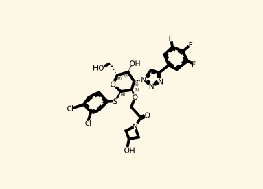 O=C(CO[C@@H]1[C@@H](n2cc(-c3cc(F)c(F)c(F)c3)nn2)[C@@H](O)[C@@H](CO)O[C@@H]1Sc1ccc(Cl)c(Cl)c1)N1CC(O)C1